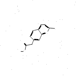 COC(=O)Cc1ccc2ccc(C)nc2c1